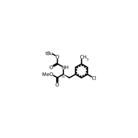 COC(=O)[C@H](Cc1cc(C)cc(Cl)c1)NC(=O)OC(C)(C)C